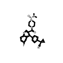 CN(C)[S+]([O-])N1CCN(C(=O)c2cnc3ccc(F)cc3c2-c2ccc(C3(C#N)CC3)cc2)CC1